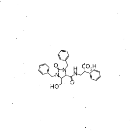 O=C(NC[C@H](C(=O)O)c1ccccc1)C1C(CO)N(Cc2ccccc2)C(=O)N1Cc1ccccc1